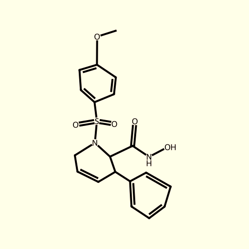 COc1ccc(S(=O)(=O)N2CC=CC(c3ccccc3)C2C(=O)NO)cc1